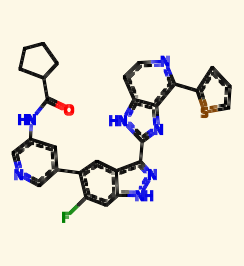 O=C(Nc1cncc(-c2cc3c(-c4nc5c(-c6cccs6)nccc5[nH]4)n[nH]c3cc2F)c1)C1CCCC1